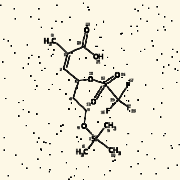 CC(=CC(CCO[Si](C)(C)C)OS(=O)(=O)C(F)(F)F)C(=O)O